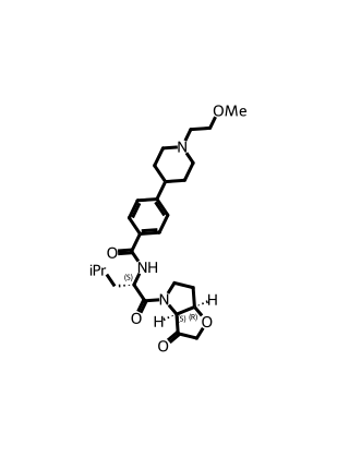 COCCN1CCC(c2ccc(C(=O)N[C@@H](CC(C)C)C(=O)N3CC[C@H]4OCC(=O)[C@H]43)cc2)CC1